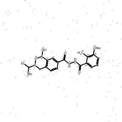 CCC(N1Cc2ccc(C(=O)NNC(=O)c3cccc(OC)c3C)cc2B(O)O1)C(C)(C)C